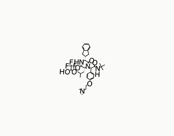 CC(C)C[C@@H]1C(=O)N[C@H](C2Cc3ccccc3C2)C(=O)N1[C@@H](C(=O)NC(C)(C)C)c1ccc(OCCN(C)C)cc1.O=C(O)C(F)(F)F